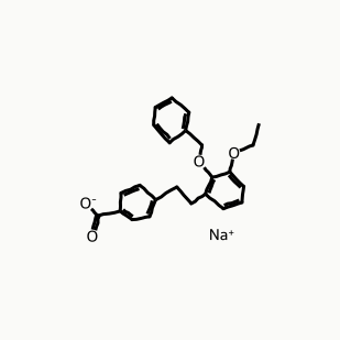 CCOc1cccc(CCc2ccc(C(=O)[O-])cc2)c1OCc1ccccc1.[Na+]